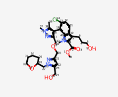 COC(=O)c1c(CCCO)c2ccc(Cl)c(-c3c(COCc4cc(CO)n(CC5CCCCO5)n4)nn(C)c3C)c2n1C